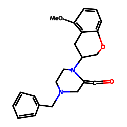 COc1cccc2c1CC(N1CCN(Cc3ccccc3)CC1=C=O)CO2